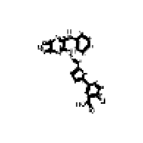 O=C(O)c1cc(-c2ccc(C=NNc3nc4nonc4nc3Nc3ccccc3)o2)ccc1Cl